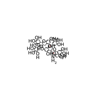 N[C@@H](CS[C@H]1c2c(O)cc(O)c([C@H]3c4c(O)cc(O)cc4O[C@H](C4C=C(O)C(O)=C(O)C4)[C@@H]3OC(=O)c3cc(O)c(O)c(O)c3)c2O[C@H](C2=CC(O)C(O)C(O)=C2)[C@@H]1OC(=O)c1cc(O)c(O)c(O)c1)C(=O)O